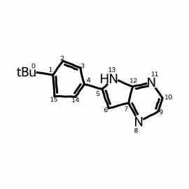 CC(C)(C)c1ccc(-c2cc3nccnc3[nH]2)cc1